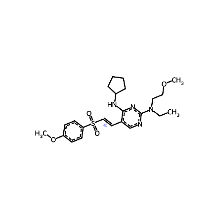 CCN(CCOC)c1ncc(/C=C/S(=O)(=O)c2ccc(OC)cc2)c(NC2CCCC2)n1